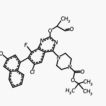 CC(C=O)Oc1nc(N2CCN(C(=O)OC(C)(C)C)CC2)c2cc(Cl)c(-c3cc(O)cc4ccccc34)c(F)c2n1